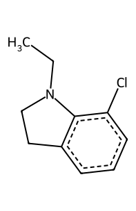 CCN1CCc2cccc(Cl)c21